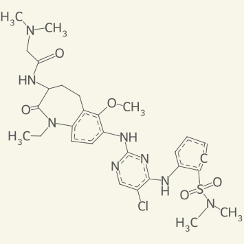 CCN1C(=O)C(NC(=O)CN(C)C)CCc2c1ccc(Nc1ncc(Cl)c(Nc3ccccc3S(=O)(=O)N(C)C)n1)c2OC